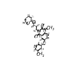 Cc1cncc(Oc2cnc3c(c2)c(=O)n(CCCOC2CCCCO2)c(=O)n3C)c1